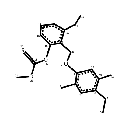 CCc1cc(C)c(OCc2c(CC)cccc2OC(=S)OC)cc1C